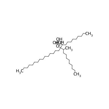 CCCCCCCCCCCCCCCC(OP(=O)(O)O)(C(C)CCCCCCCCC)C(C)CCCCCCCCC